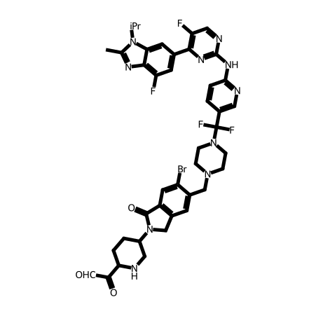 Cc1nc2c(F)cc(-c3nc(Nc4ccc(C(F)(F)N5CCN(Cc6cc7c(cc6Br)C(=O)N(C6CCC(C(=O)C=O)NC6)C7)CC5)cn4)ncc3F)cc2n1C(C)C